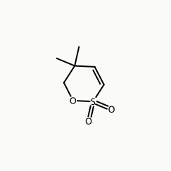 CC1(C)C=CS(=O)(=O)OC1